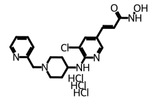 Cl.Cl.Cl.O=C(/C=C/c1cnc(NC2CCN(Cc3ccccn3)CC2)c(Cl)c1)NO